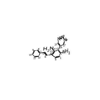 Nc1ccc(C=Cc2ccccc2)c(N)c1-c1cnnnc1